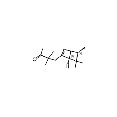 CC(=O)C(C)(C)CC1=CC2[C@@H](C)C(C)(C)[C@H]12